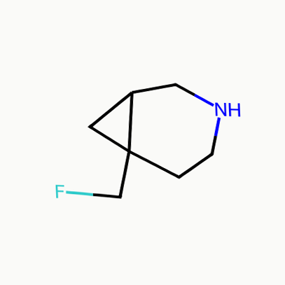 FCC12CCNCC1C2